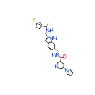 CC(NCc1cc2ccc(CNC(=O)c3cncc(-n4cccc4)c3)cc2[nH]1)C1CC2(F)CC1C2